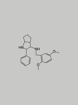 COc1ccc(OC)c(CNC2C(c3ccccc3)NC3CCCC32)c1